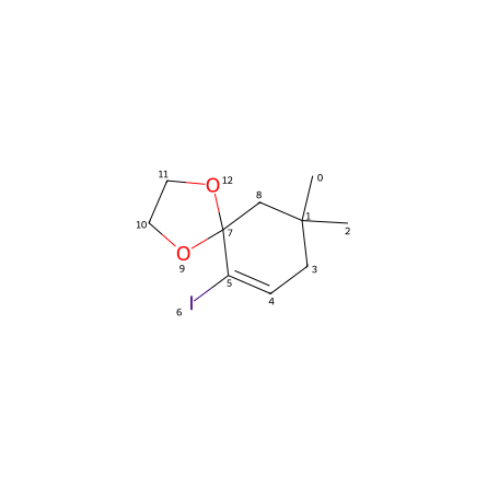 CC1(C)CC=C(I)C2(C1)OCCO2